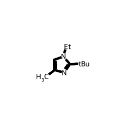 CCn1cc(C)nc1C(C)(C)C